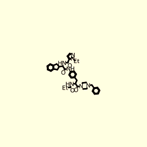 CCC(=O)NC(Cc1ccc(NC(=O)C(NC(=O)c2ccnn2CC)C2Cc3ccccc3C2)cc1)C(=O)N1CCN(Cc2ccccc2)CC1